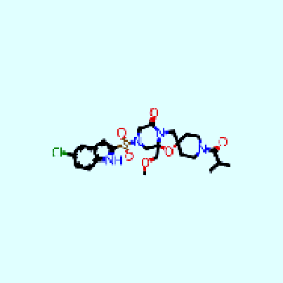 COCC12CN(S(=O)(=O)c3cc4cc(Cl)ccc4[nH]3)CC(=O)N1CC1(CCN(C(=O)C(C)C)CC1)O2